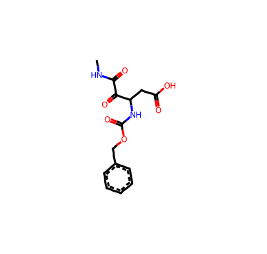 CNC(=O)C(=O)C(CC(=O)O)NC(=O)OCc1ccccc1